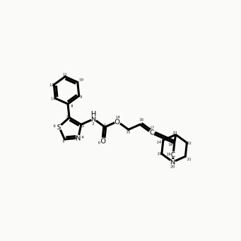 O=C(Nc1ncsc1-c1ccccc1)OCC=C=C1CN2CCC1CC2